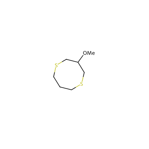 COC1CSCCCSC1